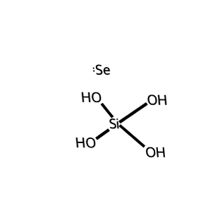 O[Si](O)(O)O.[Se]